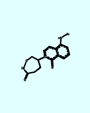 CCNc1cccc2c(=O)n(C3CCC(=O)NOC3)ccc12